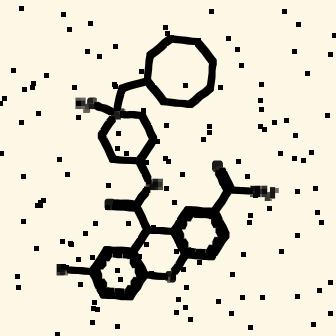 C[N+]1(CC2CCCCCCC2)CCC(NC(=O)C2c3cc(Br)ccc3Oc3ccc(C(N)=O)cc32)CC1.[I-]